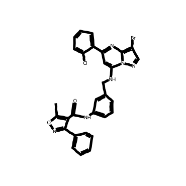 Cc1onc(-c2ccccc2)c1C(=O)Nc1cccc(CNc2cc(-c3ccccc3Cl)nc3c(Br)cnn23)c1